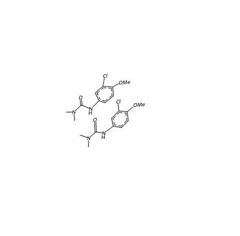 COc1ccc(NC(=O)N(C)C)cc1Cl.COc1ccc(NC(=O)N(C)C)cc1Cl